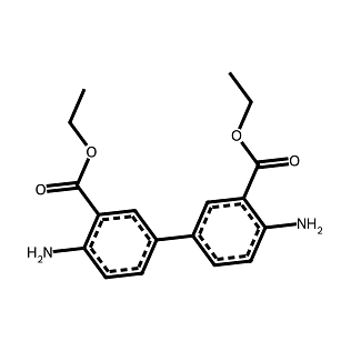 CCOC(=O)c1cc(-c2ccc(N)c(C(=O)OCC)c2)ccc1N